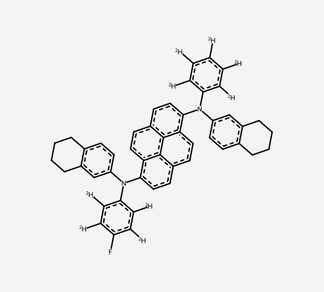 [2H]c1c([2H])c([2H])c(N(c2ccc3c(c2)CCCC3)c2ccc3ccc4c(N(c5ccc6c(c5)CCCC6)c5c([2H])c([2H])c(F)c([2H])c5[2H])ccc5ccc2c3c54)c([2H])c1[2H]